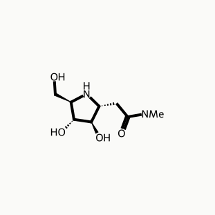 CNC(=O)C[C@H]1N[C@H](CO)[C@@H](O)[C@@H]1O